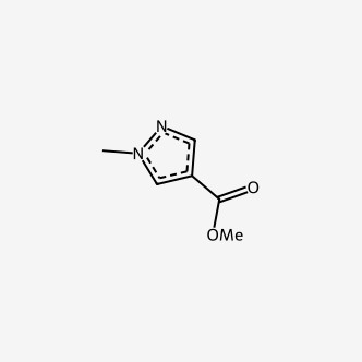 COC(=O)c1cnn(C)c1